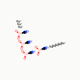 N#CB([O-])[O-].N#CB([O-])[O-].N#CB([O-])[O-].N#CB([O-])[O-].[Na+].[Na+].[Na+].[Na+].[Na+].[Na+].[Na+].[Na+]